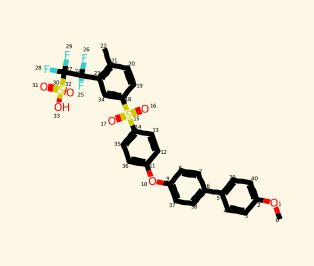 COc1ccc(-c2ccc(Oc3ccc(S(=O)(=O)c4ccc(C)c(C(F)(F)C(F)(F)S(=O)(=O)O)c4)cc3)cc2)cc1